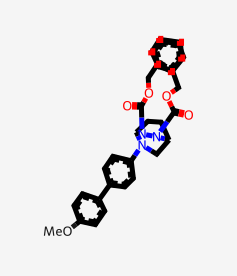 COc1ccc(-c2ccc(N3CC4CCC3N(C(=O)OCc3ccccc3)N4C(=O)OCc3ccccc3)cc2)cc1